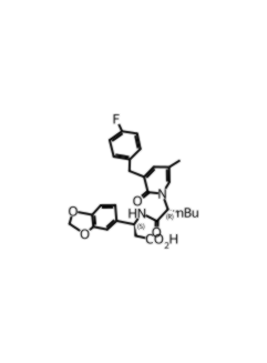 CCCC[C@H](C(=O)N[C@@H](CC(=O)O)c1ccc2c(c1)OCO2)n1cc(C)cc(Cc2ccc(F)cc2)c1=O